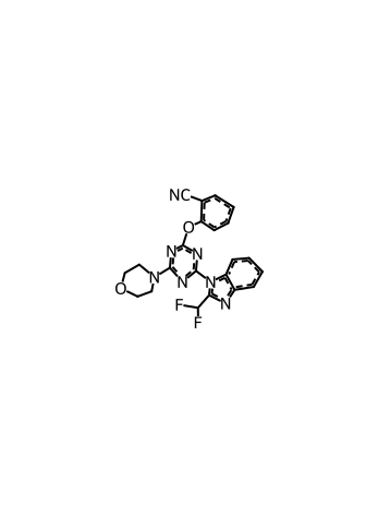 N#Cc1ccccc1Oc1nc(N2CCOCC2)nc(-n2c(C(F)F)nc3ccccc32)n1